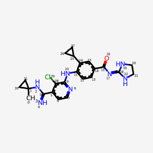 CC1(NC(=N)c2ccnc(Nc3ccc(C(=O)N=C4NCCN4)cc3C3CC3)c2Cl)CC1